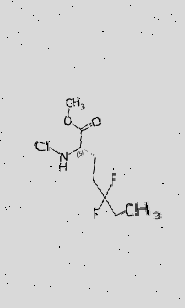 CCC(F)(F)CC[C@H](NCl)C(=O)OC